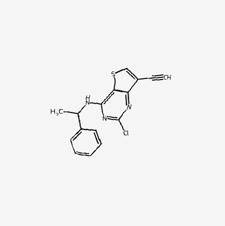 C#Cc1csc2c(NC(C)c3ccccc3)nc(Cl)nc12